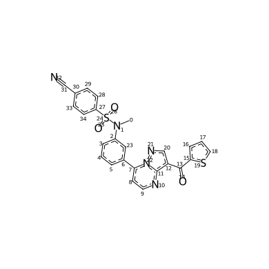 CN(c1cccc(-c2ccnc3c(C(=O)c4cccs4)cnn23)c1)S(=O)(=O)c1ccc(C#N)cc1